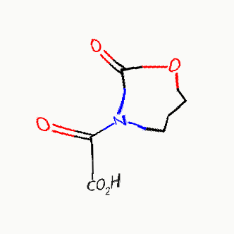 O=C(O)C(=O)N1CCOC1=O